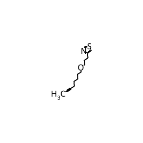 CC#CCCCCCOCCCc1cscn1